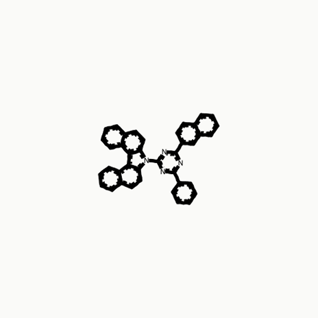 c1ccc(-c2nc(-c3ccc4ccccc4c3)nc(-n3c4ccc5ccccc5c4c4c5ccccc5ccc43)n2)cc1